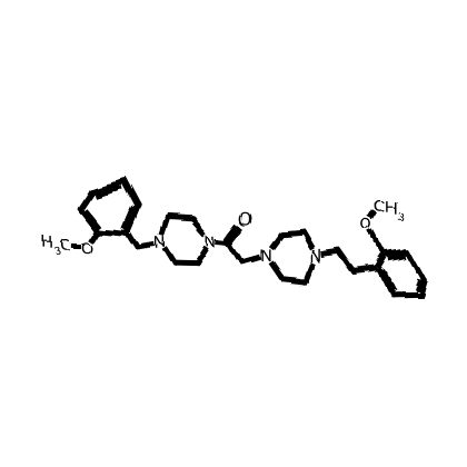 COc1ccccc1CCN1CCN(CC(=O)N2CCN(Cc3ccccc3OC)CC2)CC1